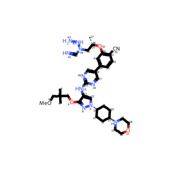 COCC(C)(C)COc1nn([C@H]2CC[C@H](N3CCOCC3)CC2)cc1Nc1ncc(-c2ccc(C#N)c(O[C@@H](C)CN(C=N)NN)c2)cn1